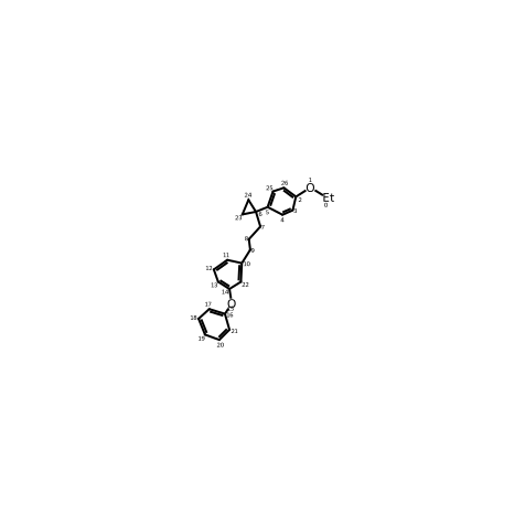 CCOc1ccc(C2(CCCc3cccc(Oc4ccccc4)c3)CC2)cc1